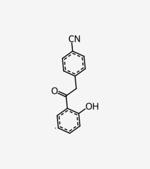 N#Cc1ccc(CC(=O)c2c[c]ccc2O)cc1